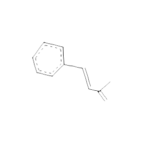 O=C(Cl)C=Cc1[c]cccc1